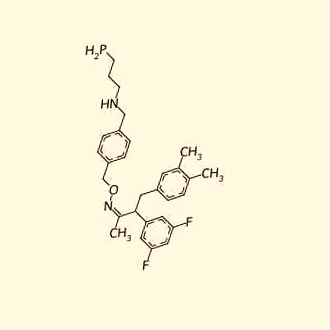 CC(=NOCc1ccc(CNCCCP)cc1)C(Cc1ccc(C)c(C)c1)c1cc(F)cc(F)c1